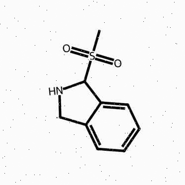 CS(=O)(=O)C1N[CH]c2ccccc21